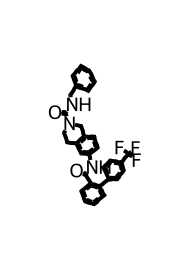 O=C(Nc1ccc2c(c1)CCN(C(=O)NCc1ccccc1)C2)c1ccccc1-c1ccc(C(F)(F)F)cc1